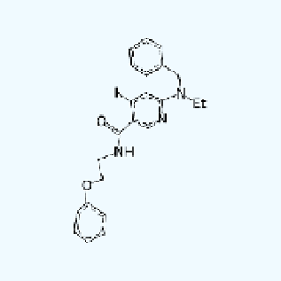 CCN(Cc1ccccc1)c1cc(I)c(C(=O)NCCOc2ccccc2)cn1